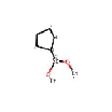 CC[O][Sb]([O]CC)[CH]1CCCC1